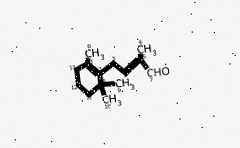 CC1=C(C/C=C(\C)C=O)C(C)(C)CCC1